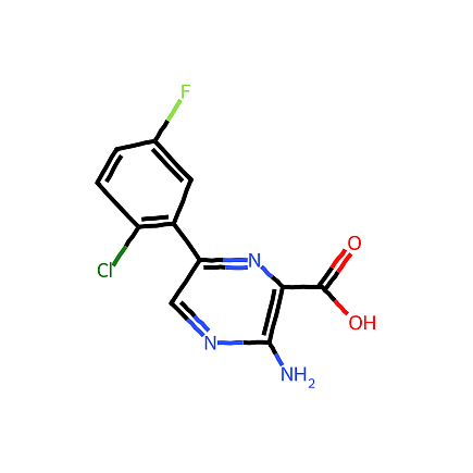 Nc1ncc(-c2cc(F)ccc2Cl)nc1C(=O)O